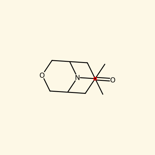 CC(C)N1C2COCC1CC(=O)C2